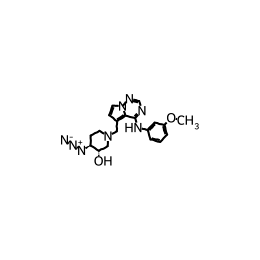 COc1cccc(Nc2ncnn3ccc(CN4CC[C@H](N=[N+]=[N-])[C@@H](O)C4)c23)c1